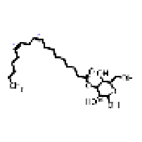 CCCCC/C=C\C/C=C\CCCCCCCC(=O)OC1C(O)C(CO)OC(O)[C@H]1O